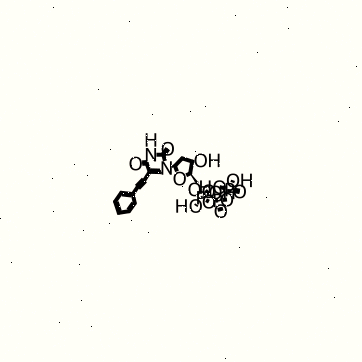 O=c1[nH]c(=O)n([C@H]2C[C@@H](O)[C@@H](COP(=O)(O)OP(=O)(O)OP(=O)(O)O)O2)cc1C#Cc1ccccc1